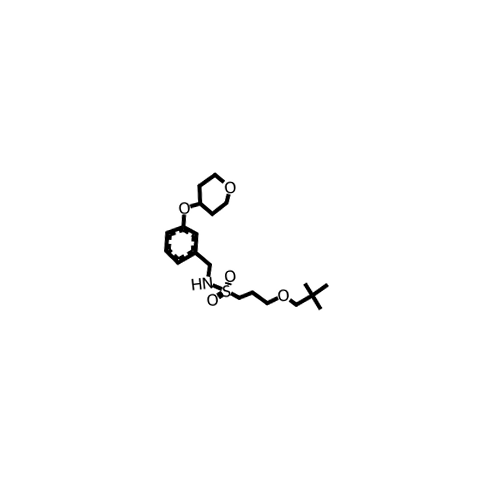 CC(C)(C)COCCCS(=O)(=O)NCc1cccc(OC2CCOCC2)c1